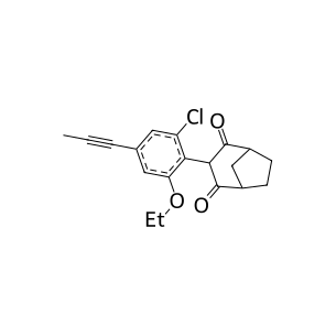 CC#Cc1cc(Cl)c(C2C(=O)C3CCC(C3)C2=O)c(OCC)c1